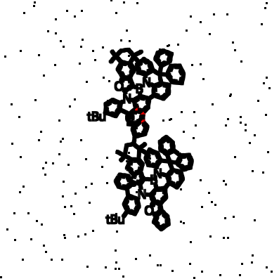 CC(C)(C)c1ccc(N2c3oc4cc5c(cc4c3B3c4c(cc6c(oc7cc(C8CC(C)(C)c9cc%10sc%11c(c%10cc9C8(C)C)B8c9c(cc%10c(oc%12ccccc%12%10)c9N%11c9ccc(C(C)(C)C)cc9-c9ccccc9)-c9cccc%10c9N8c8ccccc8C%108c9ccccc9-c9ccccc98)ccc76)c42)-c2cccc4c2N3c2ccccc2C4(c2ccccc2)c2ccccc2)C(C)(C)CCC5(C)C)c(-c2ccccc2)c1